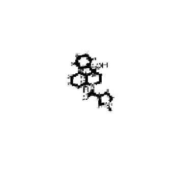 CN1CCC(C(=O)N2CCC(O)(c3ccccc3)[C@H]3CCCC[C@H]32)C1